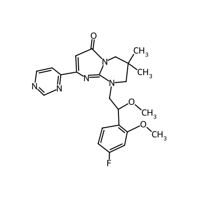 COc1cc(F)ccc1C(CN1CC(C)(C)Cn2c1nc(-c1ccncn1)cc2=O)OC